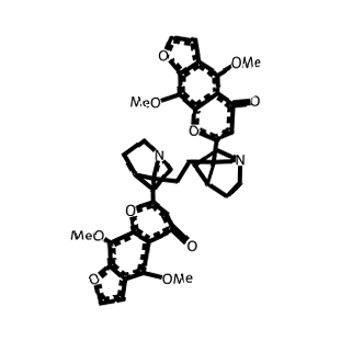 COc1c2occc2c(OC)c2c(=O)cc(C3(CCC4(c5cc(=O)c6c(OC)c7ccoc7c(OC)c6o5)C5CCN4CC5)C4CCN3CC4)oc12